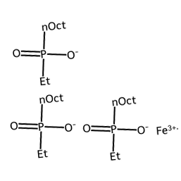 CCCCCCCCP(=O)([O-])CC.CCCCCCCCP(=O)([O-])CC.CCCCCCCCP(=O)([O-])CC.[Fe+3]